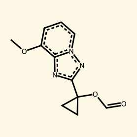 COc1cccn2nc(C3(OC=O)CC3)nc12